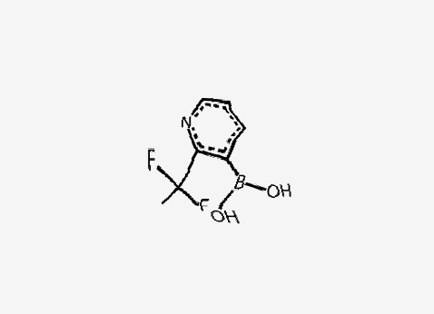 CC(F)(F)c1ncccc1B(O)O